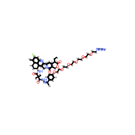 CCC1C(=O)OCc2c1cc1n(c2=O)Cc2c-1nc1cc(F)c(C)c3c1c2[C@H](NC(=O)C(C)(C)C(=O)N/N=C(/C)c1ccc(OCCOCCOCCOCCOCCOCCN=[N+]=[N-])cc1)CC3